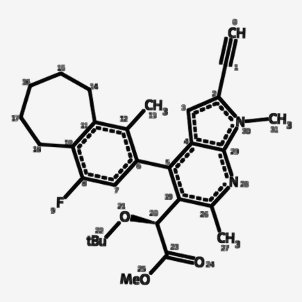 C#Cc1cc2c(-c3cc(F)c4c(c3C)CCCCC4)c([C@H](OC(C)(C)C)C(=O)OC)c(C)nc2n1C